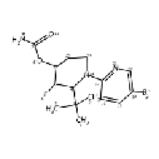 CC(C)(C)C1C(F)C(OC(N)=O)CCN1c1ccc(Br)cn1